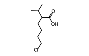 CC(C)C(CCCCCl)C(=O)O